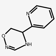 C1=NOCC(c2ccccn2)N1